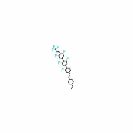 C=CC1CCC(CCc2ccc(-c3cc(F)c(-c4cc(F)c(/C=C/C(F)(F)F)c(F)c4)c(F)c3)c(F)c2)CC1